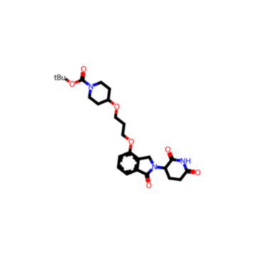 CC(C)(C)OC(=O)N1CCC(OCCCOc2cccc3c2CN(C2CCC(=O)NC2=O)C3=O)CC1